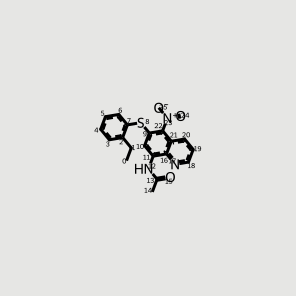 CCc1ccccc1Sc1cc(NC(C)=O)c2ncccc2c1[N+](=O)[O-]